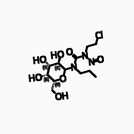 CCCN(C(=O)N(CCCl)N=O)C1O[C@H](CO)[C@H](O)[C@H](O)[C@H]1O